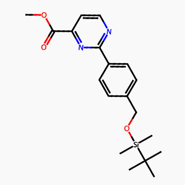 COC(=O)c1ccnc(-c2ccc(CO[Si](C)(C)C(C)(C)C)cc2)n1